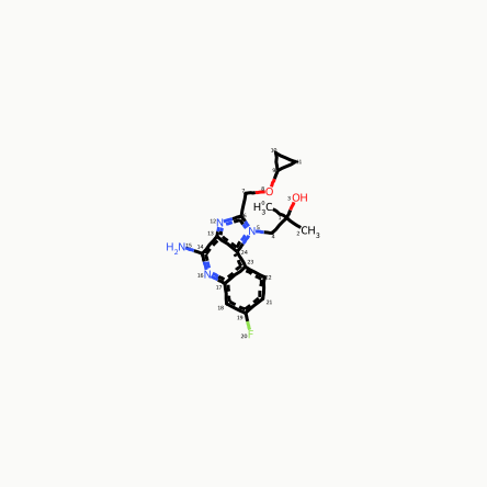 CC(C)(O)Cn1c(COC2CC2)nc2c(N)nc3cc(F)ccc3c21